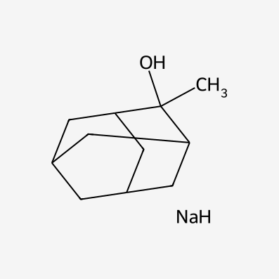 CC1(O)C2CC3CC(C2)CC1C3.[NaH]